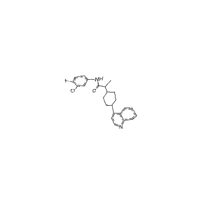 CC(C(=O)Nc1ccc(F)c(Cl)c1)C1CCC(c2ccnc3ccccc23)CC1